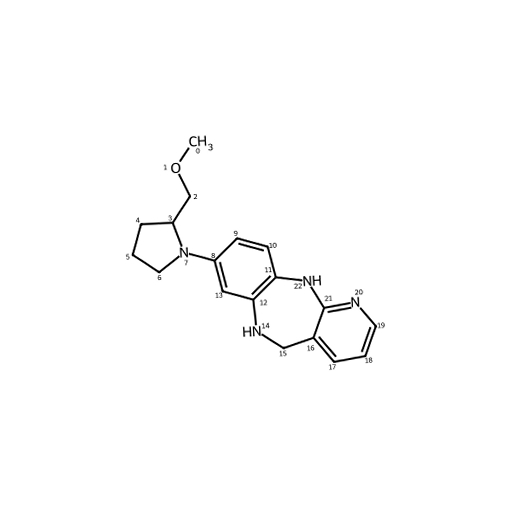 COCC1CCCN1c1ccc2c(c1)NCc1cccnc1N2